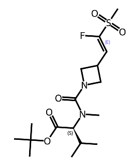 CC(C)[C@@H](C(=O)OC(C)(C)C)N(C)C(=O)N1CC(/C=C(\F)S(C)(=O)=O)C1